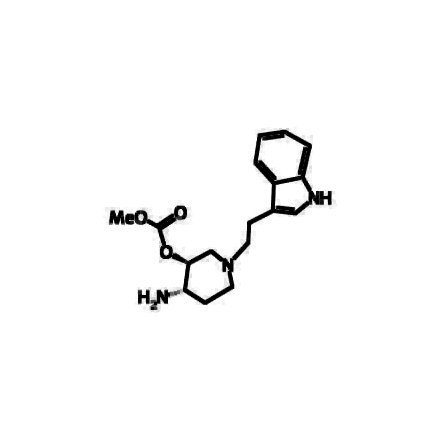 COC(=O)O[C@H]1CN(CCc2c[nH]c3ccccc23)CC[C@@H]1N